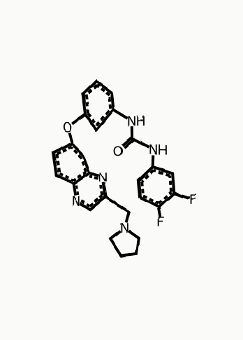 O=C(Nc1cccc(Oc2ccc3ncc(CN4CCCC4)nc3c2)c1)Nc1ccc(F)c(F)c1